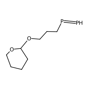 P=PCCCOC1CCCCO1